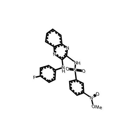 CO[N+](=O)c1cccc(S(=O)(=O)Nc2nc3ccccc3nc2Nc2ccc(F)cc2)c1